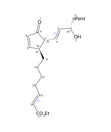 CCCCC[C@H](O)/C=C/[C@H]1C(=O)C=C[C@@H]1CCCC/C=C/C(=O)OCC